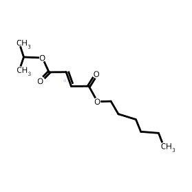 CCCCCCOC(=O)/C=C/C(=O)OC(C)C